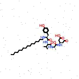 CCCCCCCCCCCCCCCCN[C@@H](Cc1ccc(O)cc1)C(=O)N[C@H](C(=O)N[C@@H](C)C(=O)N[C@H](CC=O)CC(=O)O)C(C)C